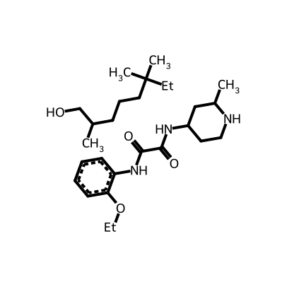 CCC(C)(C)CCCC(C)CO.CCOc1ccccc1NC(=O)C(=O)NC1CCNC(C)C1